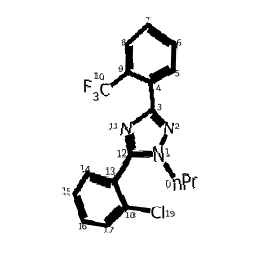 CCCn1nc(-c2ccccc2C(F)(F)F)nc1-c1ccccc1Cl